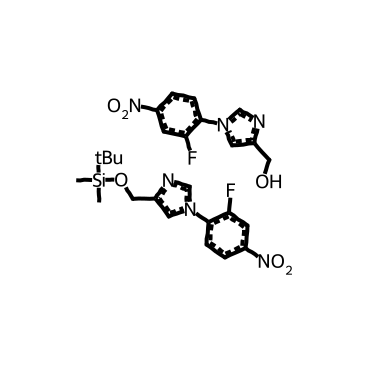 CC(C)(C)[Si](C)(C)OCc1cn(-c2ccc([N+](=O)[O-])cc2F)cn1.O=[N+]([O-])c1ccc(-n2cnc(CO)c2)c(F)c1